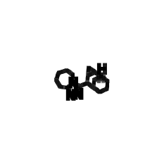 C1CCc2nnc(C3C4CCC[C@H](C4)C4CC34)n2CC1